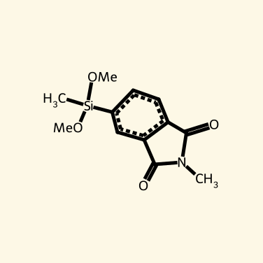 CO[Si](C)(OC)c1ccc2c(c1)C(=O)N(C)C2=O